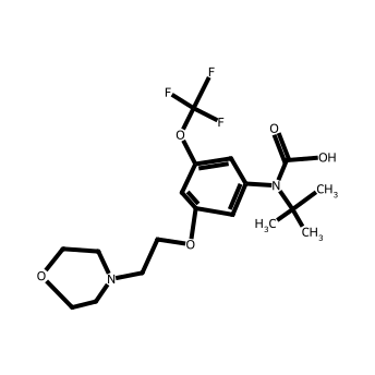 CC(C)(C)N(C(=O)O)c1cc(OCCN2CCOCC2)cc(OC(F)(F)F)c1